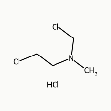 CN(CCl)CCCl.Cl